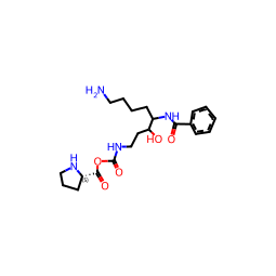 NCCCCC(NC(=O)c1ccccc1)C(O)CCNC(=O)OC(=O)[C@@H]1CCCN1